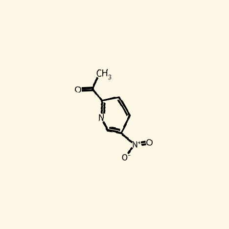 CC(=O)c1ccc([N+](=O)[O-])cn1